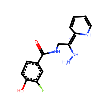 NN/C(CNC(=O)c1ccc(O)c(F)c1)=C1/C=CC=CN1